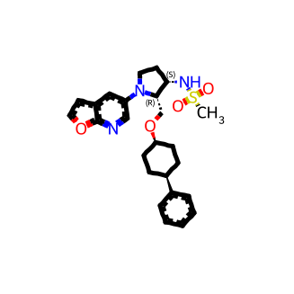 CS(=O)(=O)N[C@H]1CCN(c2cnc3occc3c2)[C@H]1CO[C@H]1CC[C@@H](c2ccccc2)CC1